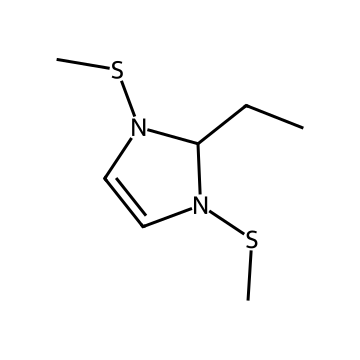 CCC1N(SC)C=CN1SC